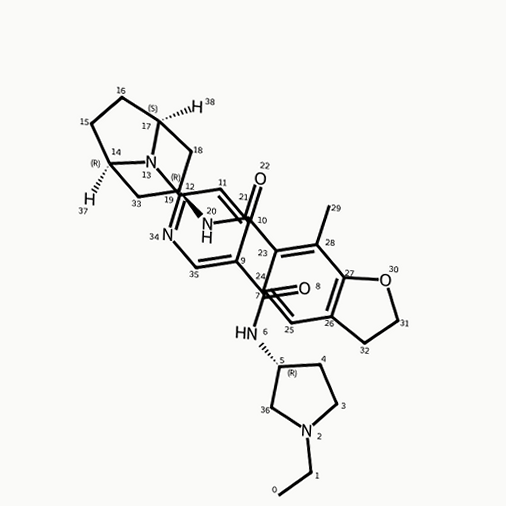 CCN1CC[C@@H](NC(=O)c2ccc(N3[C@@H]4CC[C@H]3C[C@@H](NC(=O)c3ccc5c(c3C)OCC5)C4)nc2)C1